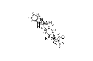 CC(C)(C)N1C(=O)CC(c2ccc(C[C@H](N)c3nc4ccccc4[nH]3)cc2Br)S1(=O)=O